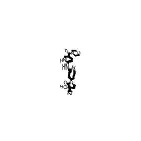 N#C[C@@]1(O)CCN(c2ccnc(NC3=CC=C(C(=O)N4CCOCC4)CN3)c2)C1=O